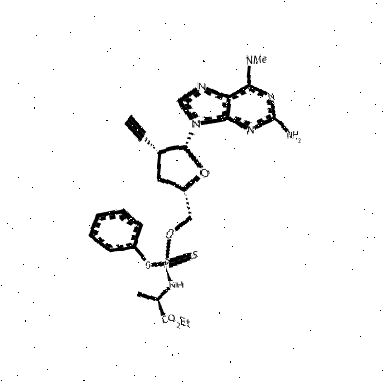 C#C[C@H]1C[C@@H](CO[P@@](=S)(N[C@H](C)C(=O)OCC)Oc2ccccc2)O[C@H]1n1cnc2c(NC)nc(N)nc21